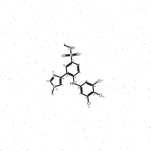 CNS(=O)(=O)c1ccc(Nc2cc(Cl)c(Cl)c(Cl)c2)c(-c2cn(C)cn2)c1